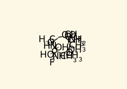 CO[C@H]1/C=C\C=C(/C)C(=O)Nc2cc(O)c(NCCF)c(c2O)C[C@@H](C)C[C@H](OC)[C@H](O)[C@@H](C)/C=C(\C)[C@@H]1OC(N)=O